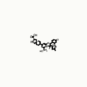 Cc1ccn(-c2cc(Cl)ccc2[C@@H](Oc2cc(C3=CC[C@]4(CC3)CN[C@@H](C(=O)O)C4)nc(N)n2)C(F)(F)F)n1.Cl